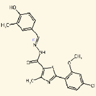 COc1cc(Cl)ccc1-c1nc(C)c(C(=O)N/N=C/c2ccc(O)c(C)c2)s1